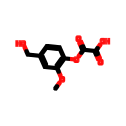 COc1cc(CO)ccc1OC(=O)C(=O)O